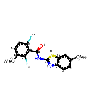 COc1ccc2nc(NC(=O)c3c(F)ccc(OC)c3F)sc2c1